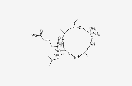 CC[C@H]1CCC(N)(N)CNCC(C)CNC[C@@](CNCC(C)C)(NC(=O)CCCC(=O)O)NCC(C)C1